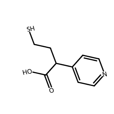 O=C(O)C(CCS)c1ccncc1